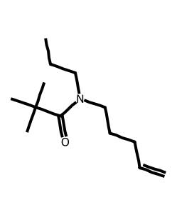 C=CCCCN(CCC)C(=O)C(C)(C)C